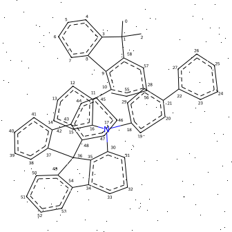 CC1(C)c2ccccc2-c2c(-c3ccccc3N(c3ccc(-c4ccccc4)cc3)c3cccc4c3C3(c5ccccc5-c5ccccc53)c3ccccc3-4)cccc21